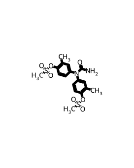 Cc1cc(N(C(N)=O)c2ccc(OS(C)(=O)=O)c(C)c2)ccc1OS(C)(=O)=O